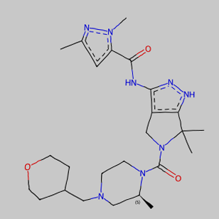 Cc1cc(C(=O)Nc2n[nH]c3c2CN(C(=O)N2CCN(CC4CCOCC4)C[C@@H]2C)C3(C)C)n(C)n1